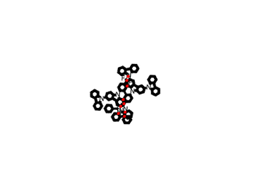 FC(F)(F)c1ccc(-n2c3ccc(-n4c5ccccc5c5ccccc54)cc3c3cc(-n4c5ccccc5c5ccccc54)ccc32)c(-c2cc(-c3nc(-c4ccccc4)nc(-c4ccccc4)n3)ccc2-n2c3ccc(-n4c5ccccc5c5ccccc54)cc3c3cc(-n4c5ccccc5c5ccccc54)ccc32)c1